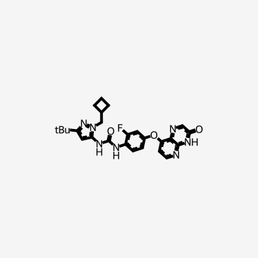 CC(C)(C)c1cc(NC(=O)Nc2ccc(Oc3ccnc4[nH]c(=O)cnc34)cc2F)n(CC2CCC2)n1